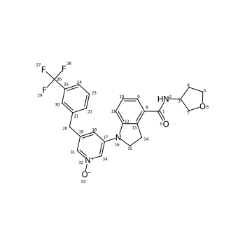 O=C(NC1CCOC1)c1cccc2c1CCN2c1cc(Cc2cccc(C(F)(F)F)c2)c[n+]([O-])c1